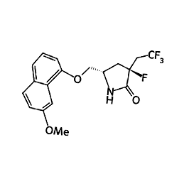 COc1ccc2cccc(OC[C@@H]3C[C@](F)(CC(F)(F)F)C(=O)N3)c2c1